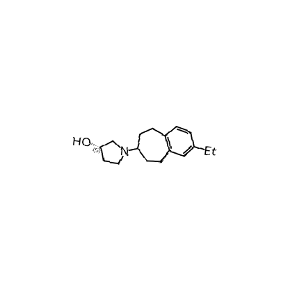 CCc1ccc2c(c1)CCC(N1CC[C@H](O)C1)CC2